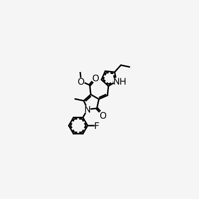 CCc1ccc(/C=C2/C(=O)N(c3ccccc3F)C(C)=C2C(=O)OC)[nH]1